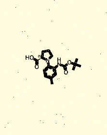 Cc1ccc(N2CCC[C@H]2C(=O)O)c(NC(=O)OC(C)(C)C)c1